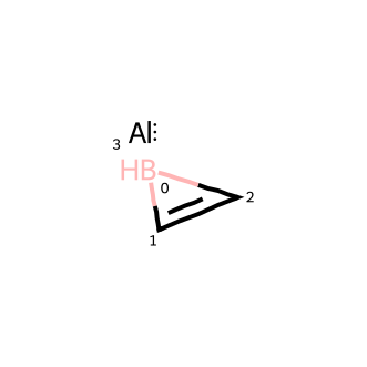 B1C=C1.[Al]